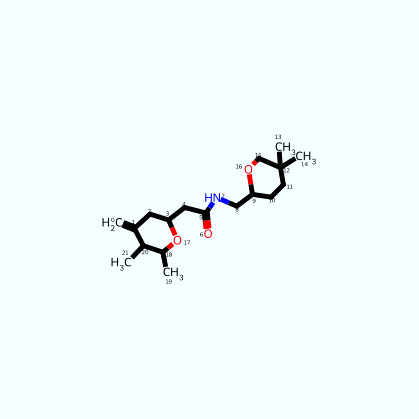 C=C1CC(CC(=O)NCC2CCC(C)(C)CO2)OC(C)C1C